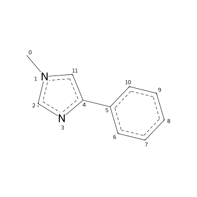 Cn1[c]nc(-c2ccccc2)c1